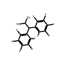 Fc1c(F)c(F)c(C(c2c(F)c(F)c(F)c(F)c2F)C(S)S)c(F)c1F